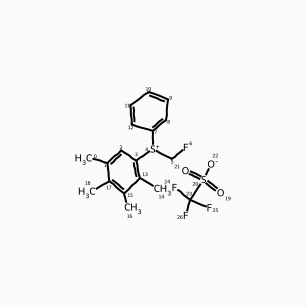 Cc1cc([S+](CF)c2ccccc2)c(C)c(C)c1C.O=S(=O)([O-])C(F)(F)F